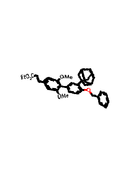 CCOC(=O)C=Cc1cc(OC)c(-c2ccc(OCc3ccccc3)c(C34CC5CC(CC(C5)C3)C4)c2)c(OC)c1